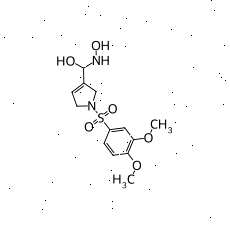 COc1ccc(S(=O)(=O)N2CC=C(C(O)NO)C2)cc1OC